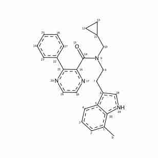 Cc1cccc2c(CCN(CC3CC3)C(=O)c3nccnc3-c3ccccc3)c[nH]c12